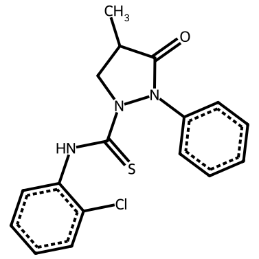 CC1CN(C(=S)Nc2ccccc2Cl)N(c2ccccc2)C1=O